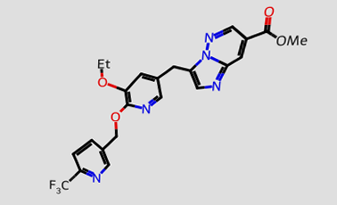 CCOc1cc(Cc2cnc3cc(C(=O)OC)cnn23)cnc1OCc1ccc(C(F)(F)F)nc1